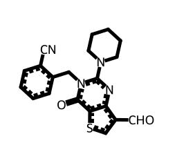 N#Cc1ccccc1Cn1c(N2CCCCC2)nc2c(C=O)csc2c1=O